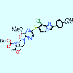 COC(=O)c1nc(Sc2ccn3cc(-c4ccc(OC)cc4)nc3c2Cl)cnc1N1CCC2(CC1)CO[C@@H](C)[C@H]2NC(=O)OC(C)(C)C